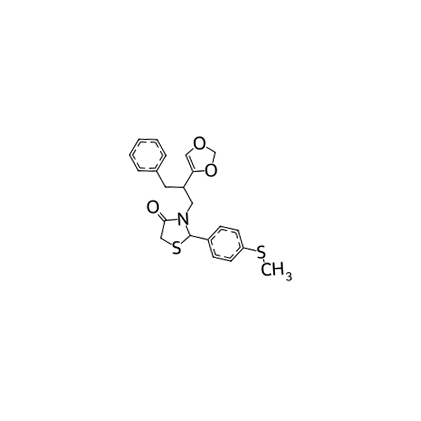 CSc1ccc(C2SCC(=O)N2CC(Cc2ccccc2)C2=COCO2)cc1